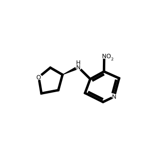 O=[N+]([O-])c1cnccc1N[C@H]1CCOC1